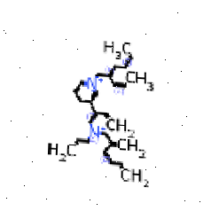 C=C/C=C\C(=C)C[N+](=C/C=C)/C=C(\C=C)c1ccc[n+](CC(/C=C\C)=C/C=C\C)c1